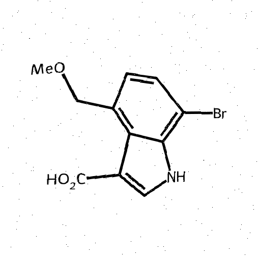 COCc1ccc(Br)c2[nH]cc(C(=O)O)c12